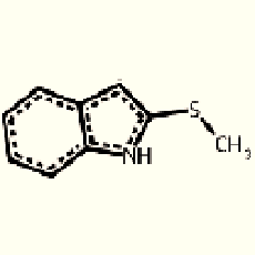 CSc1[c]c2ccccc2[nH]1